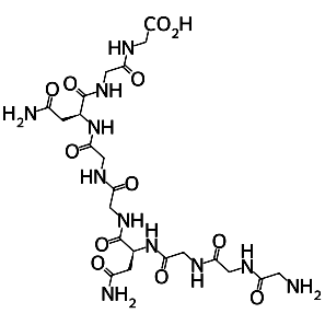 NCC(=O)NCC(=O)NCC(=O)N[C@@H](CC(N)=O)C(=O)NCC(=O)NCC(=O)N[C@@H](CC(N)=O)C(=O)NCC(=O)NCC(=O)O